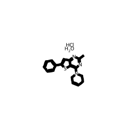 Cc1nc(N2CC=CCC2)c2sc(-c3ccccc3)cc2n1.Cl.O